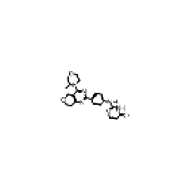 CC1COCCN1c1nc(-c2ccc(Nc3nccc(=O)[nH]3)cc2)nc2c1COCC2